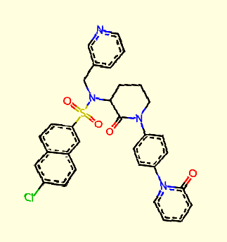 O=C1C(N(Cc2cccnc2)S(=O)(=O)c2ccc3cc(Cl)ccc3c2)CCCN1c1ccc(-n2ccccc2=O)cc1